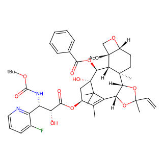 C=CC1(C)O[C@@H]2C3=C(C)[C@@H](OC(=O)[C@H](O)[C@@H](NC(=O)OC(C)(C)C)c4ncccc4F)C[C@@](O)([C@@H](OC(=O)c4ccccc4)[C@H]4[C@@](C)(CC[C@H]5OC[C@]54OC(C)=O)[C@@H]2O1)C3(C)C